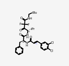 CC(C)[C@H](NC(=O)[C@H](Cc1ccccc1)NC(=O)/C=C/c1ccc(Cl)c(Cl)c1)C(=O)C(F)(F)C(=O)NCC(C)(C)C